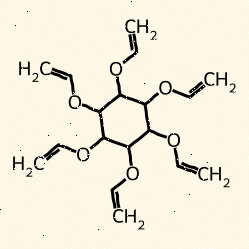 C=COC1C(OC=C)C(OC=C)C(OC=C)C(OC=C)C1OC=C